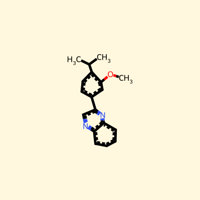 COc1cc(-c2cnc3ccccc3n2)ccc1C(C)C